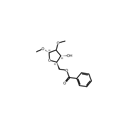 COC1[C@@H](OC)O[C@H](COC(=O)c2ccccc2)[C@H]1O